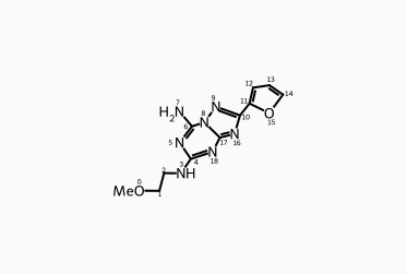 COCCNc1nc(N)n2nc(-c3ccco3)nc2n1